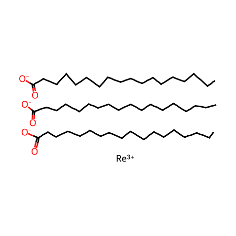 CCCCCCCCCCCCCCCCCC(=O)[O-].CCCCCCCCCCCCCCCCCC(=O)[O-].CCCCCCCCCCCCCCCCCC(=O)[O-].[Re+3]